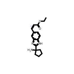 CCOC(=O)/C=C\c1ccc2[nH]c(C3(N)CCCC3)nc2c1